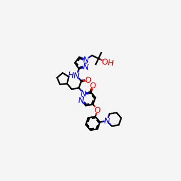 CC(C)(O)Cn1ccc(NC(=O)C(CC2CCCC2)n2ncc(Oc3ccccc3N3CCCCC3)cc2=O)n1